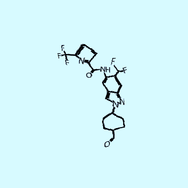 O=CC1CCC(n2cc3cc(NC(=O)c4cccc(C(F)(F)F)n4)c(C(F)F)cc3n2)CC1